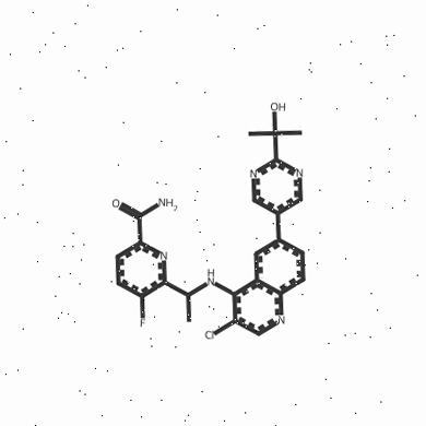 CC(Nc1c(Cl)cnc2ccc(-c3cnc(C(C)(C)O)nc3)cc12)c1nc(C(N)=O)ccc1F